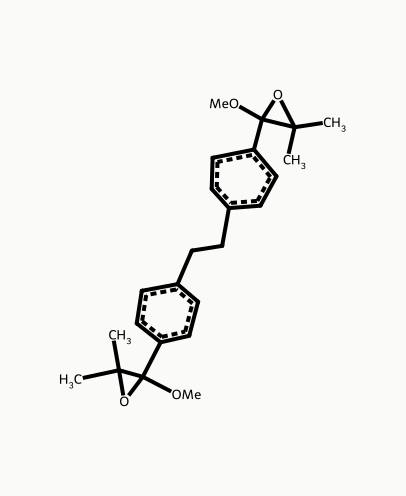 COC1(c2ccc(CCc3ccc(C4(OC)OC4(C)C)cc3)cc2)OC1(C)C